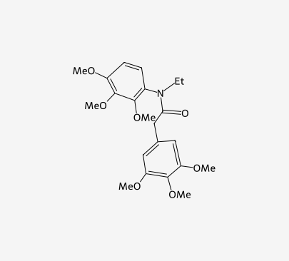 CCN(C(=O)Cc1cc(OC)c(OC)c(OC)c1)c1ccc(OC)c(OC)c1OC